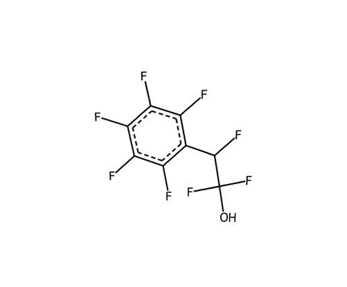 OC(F)(F)C(F)c1c(F)c(F)c(F)c(F)c1F